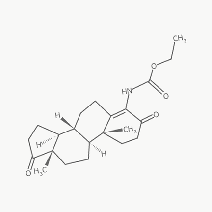 CCOC(=O)NC1=C2CC[C@@H]3[C@H](CC[C@]4(C)C(=O)CC[C@@H]34)[C@@]2(C)CCC1=O